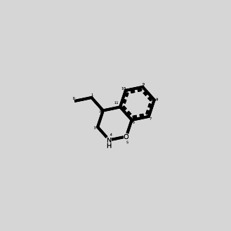 CCC1CNOc2ccccc21